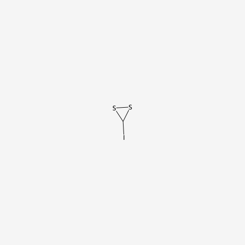 IC1SS1